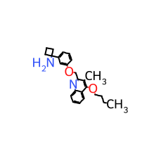 CCCCOc1c(C)c(COc2cccc(C3(N)CCC3)c2)nc2ccccc12